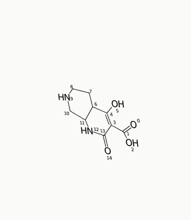 O=C(O)C1=C(O)C2CCNCC2NC1=O